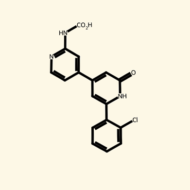 O=C(O)Nc1cc(-c2cc(-c3ccccc3Cl)[nH]c(=O)c2)ccn1